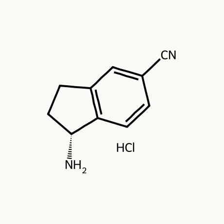 Cl.N#Cc1ccc2c(c1)CC[C@H]2N